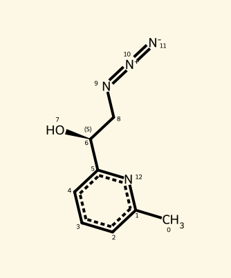 Cc1cccc([C@@H](O)CN=[N+]=[N-])n1